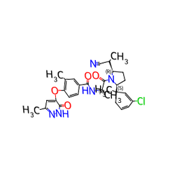 Cc1cc(Oc2ccc(C(=O)N[C@H](C)C(=O)N3[C@@H](C(C)C#N)CC[C@H]3C3(C)C=C(Cl)C=CC3)cc2C)c(=O)[nH]n1